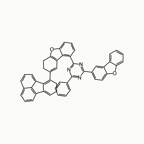 C1=C(C2=C3C(=CCC2)c2cccc4cccc3c24)CCc2oc3cccc(-c4nc(-c5ccccc5)nc(-c5ccc6oc7ccccc7c6c5)n4)c3c21